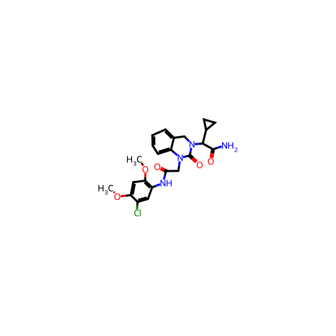 COc1cc(OC)c(NC(=O)CN2C(=O)N(C(C(N)=O)C3CC3)Cc3ccccc32)cc1Cl